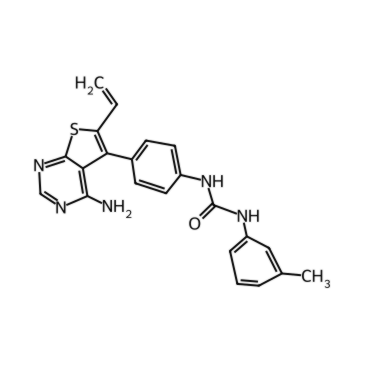 C=Cc1sc2ncnc(N)c2c1-c1ccc(NC(=O)Nc2cccc(C)c2)cc1